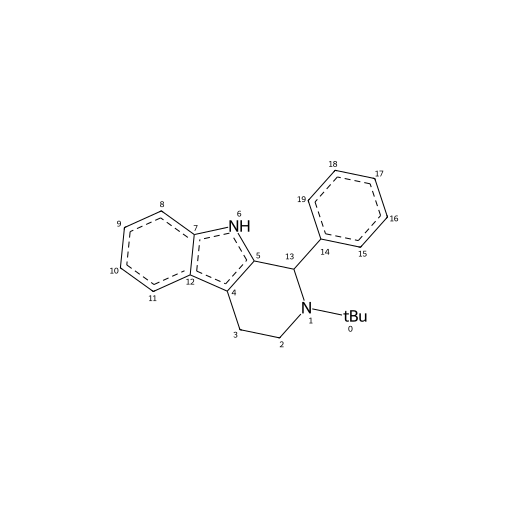 CC(C)(C)N1CCc2c([nH]c3ccccc23)C1c1ccccc1